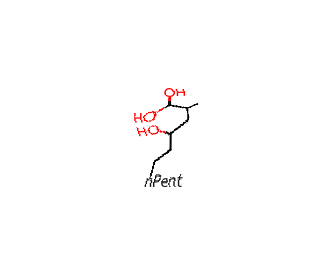 CCCCCCCC(O)CC(C)C(O)O